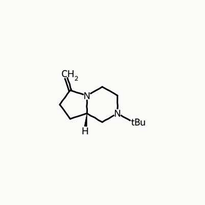 C=C1CC[C@H]2CN(C(C)(C)C)CCN12